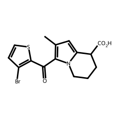 Cc1cc2n(c1C(=O)c1sccc1Br)CCCC2C(=O)O